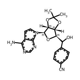 CC1(C)O[C@@H]2[C@H](O1)[C@@H](C(O)c1ccc(C#N)cc1)O[C@H]2n1ccc2c(N)ncnc21